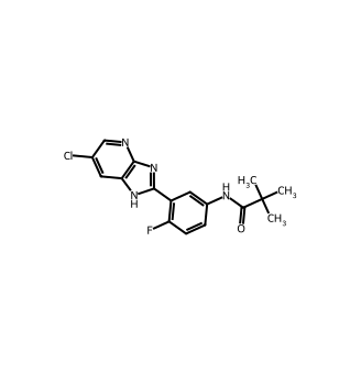 CC(C)(C)C(=O)Nc1ccc(F)c(-c2nc3ncc(Cl)cc3[nH]2)c1